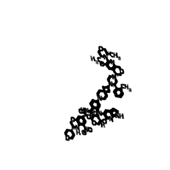 COc1cc2c(nc1N1CCOC[C@@H]1C)COC[C@@H]2N1CCN(C2CC3(CCN(c4ccc(C(=O)NS(=O)(=O)c5cc6c(c([N+](=O)[O-])c5)N[C@H](C5CCOCC5)CO6)c(N5c6cc7cc[nH]c7nc6O[C@H]6COCC[C@@H]65)c4)CC3)C2)[C@H](c2ccccc2C)C1